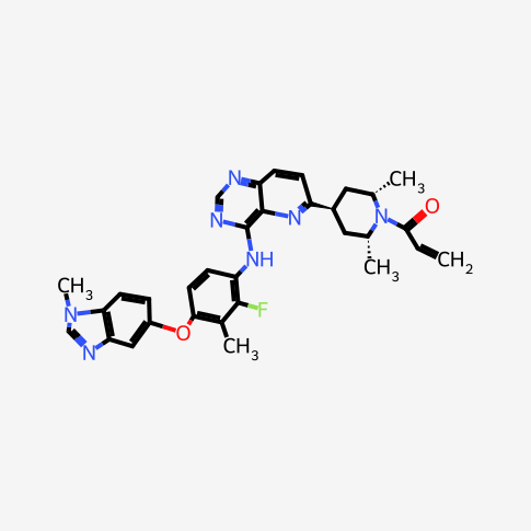 C=CC(=O)N1[C@H](C)C[C@@H](c2ccc3ncnc(Nc4ccc(Oc5ccc6c(c5)ncn6C)c(C)c4F)c3n2)C[C@@H]1C